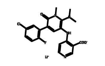 CN(C)c1c(Nc2ccncc2C(=O)[O-])cc(-c2cc(Cl)ccc2F)c(=O)n1C.[Li+]